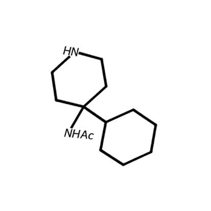 CC(=O)NC1(C2CCCCC2)CCNCC1